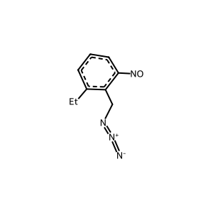 CCc1cccc(N=O)c1CN=[N+]=[N-]